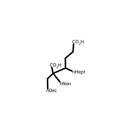 CCCCCCCCCCCC(CCCCCCCCC)(C(=O)O)C(CCCCCCC)CCC(=O)O